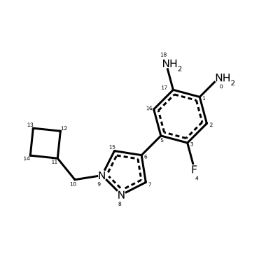 Nc1cc(F)c(-c2cnn(CC3CCC3)c2)cc1N